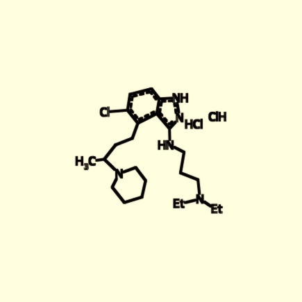 CCN(CC)CCCNc1n[nH]c2ccc(Cl)c(CCC(C)N3CCCCC3)c12.Cl.Cl